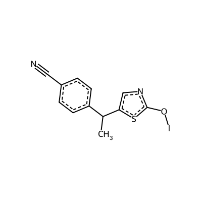 CC(c1ccc(C#N)cc1)c1cnc(OI)s1